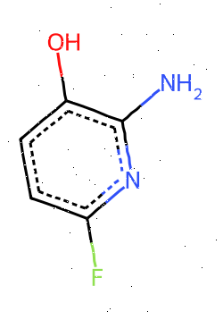 Nc1nc(F)ccc1O